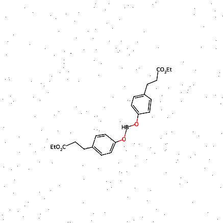 CCOC(=O)CCc1ccc(OBOc2ccc(CCC(=O)OCC)cc2)cc1